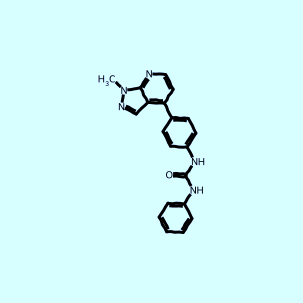 Cn1ncc2c(-c3ccc(NC(=O)Nc4ccccc4)cc3)ccnc21